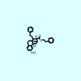 CC[C@]12CC3[C@@H](C(=O)OCCc4ccccc4)CC1C(Cc1ccccc12)N3CCc1ccccc1.Cl